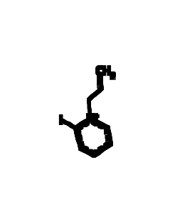 C=CC[n+]1ccccc1I